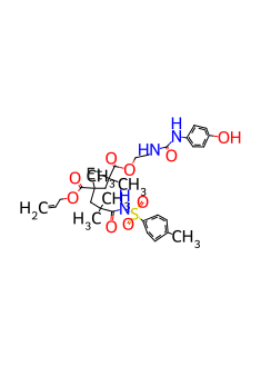 C=CCOC(=O)C(C)(CC(C)(C)C(=O)NS(=O)(=O)c1ccc(C)cc1)CC(C)(CC)C(=O)OCCNC(=O)Nc1ccc(O)cc1